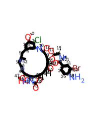 COc1cc2cc(c1Cl)N(C)C(=O)C[C@H](OC(=O)[C@H](C)N(C)C(=O)c1ccc(N)c(Br)c1)[C@]1(C)O[C@H]1C[C@@H]1C[C@@](O)(NC(=O)O1)[C@H](OC)/C=C/C=C(\C)C2